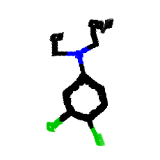 CCOC(=O)CN(CC#N)c1ccc(Cl)c(Cl)c1